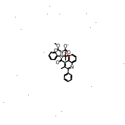 COC(=O)N(C(=O)[O-])[N+](C(=O)c1c(C)c(-c2ccccc2)nc2cccc(F)c12)(c1ccccc1)C(C)(C)C